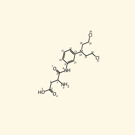 NC(CC(=O)O)C(=O)Nc1cccc(N(CCCl)CCCl)c1